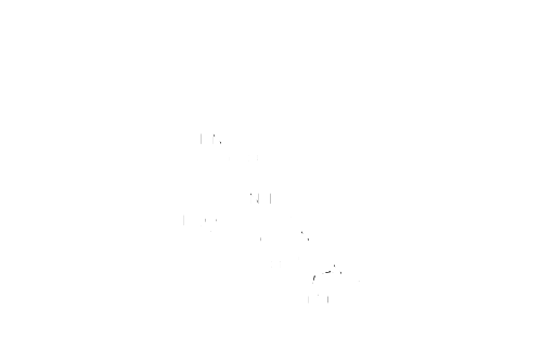 CC[C@H](C)[C@H](N)C(=O)N1CCC[C@H]1C(=O)N[C@@H](CC(=O)NCc1ccccc1)C(=O)O